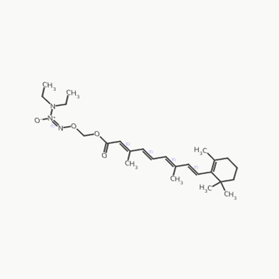 CCN(CC)/[N+]([O-])=N\OCOC(=O)/C=C(C)/C=C/C=C(C)/C=C/C1=C(C)CCCC1(C)C